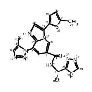 CC[C@H](NC(=O)c1cc(-n2nncc2C(C)C)c2ncc(-c3ccc(C)s3)n2c1)c1nnc[nH]1